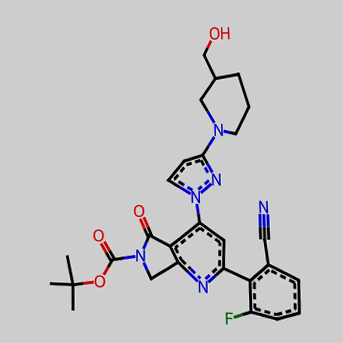 CC(C)(C)OC(=O)N1Cc2nc(-c3c(F)cccc3C#N)cc(-n3ccc(N4CCCC(CO)C4)n3)c2C1=O